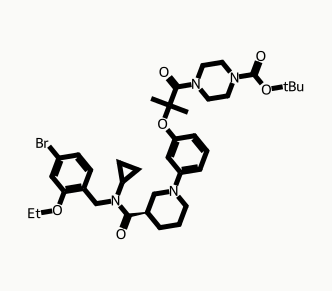 CCOc1cc(Br)ccc1CN(C(=O)[C@@H]1CCCN(c2cccc(OC(C)(C)C(=O)N3CCN(C(=O)OC(C)(C)C)CC3)c2)C1)C1CC1